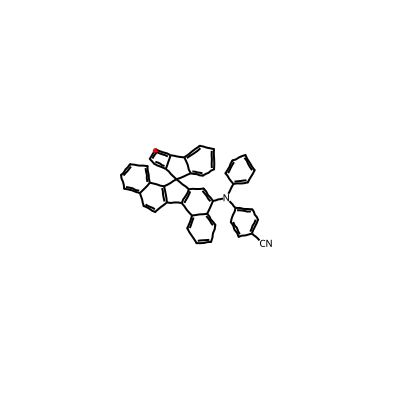 N#Cc1ccc(N(c2ccccc2)c2cc3c(c4ccccc24)-c2ccc4ccccc4c2C32c3ccccc3-c3ccccc32)cc1